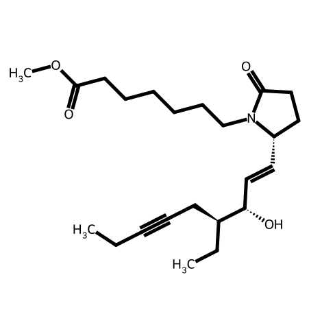 CCC#CC[C@H](CC)[C@@H](O)C=C[C@H]1CCC(=O)N1CCCCCCC(=O)OC